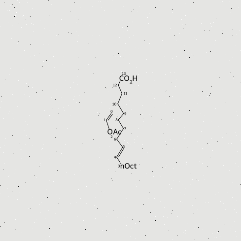 C=COC(C)=O.CCCCCCCCC=CCCCCCCCC(=O)O